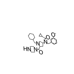 COc1cccc(CN(C(=O)C2CC2)C2CC(C(=O)N3CCNCC3)N(CC3CCCCC3)C2)c1